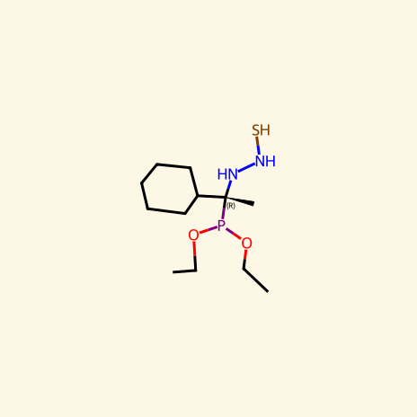 CCOP(OCC)[C@@](C)(NNS)C1CCCCC1